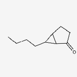 CCCCC1C2CCC(=O)C12